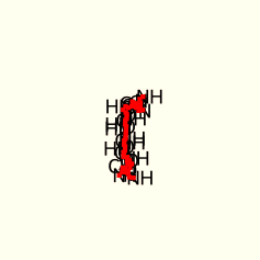 N#Cc1cc(Cl)cc2c1C[C@H](N1CCNCC1)[C@H]2Oc1ccc(S(=O)(=O)N[C@H]2CCN(C(=O)CNC(=O)CNC(=O)NCCCCNC(=O)NCC(=O)NCC(=O)N3CC[C@H](NS(=O)(=O)c4ccc(O[C@H]5c6cc(Cl)cc(C#N)c6C[C@@H]5N5CCNCC5)cc4)C3)C2)cc1